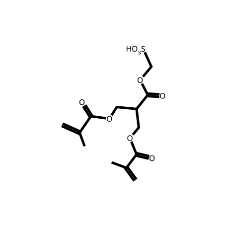 C=C(C)C(=O)OCC(COC(=O)C(=C)C)C(=O)OCS(=O)(=O)O